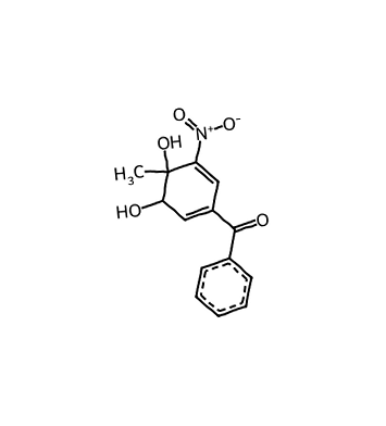 CC1(O)C([N+](=O)[O-])=CC(C(=O)c2ccccc2)=CC1O